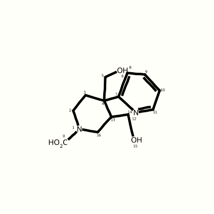 O=C(O)N1CCC(CO)(c2ccccn2)C(CO)C1